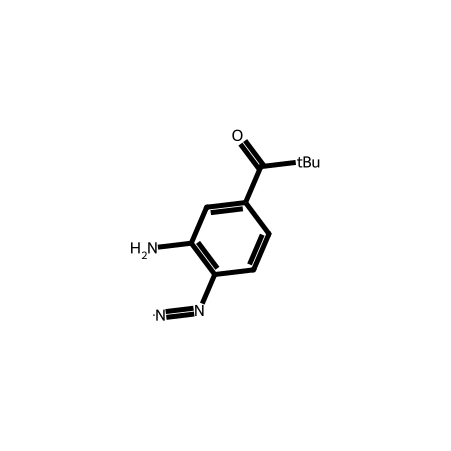 CC(C)(C)C(=O)c1ccc(N=[N])c(N)c1